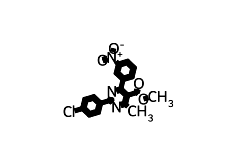 COC(=O)c1c(C)nc(-c2ccc(Cl)cc2)nc1-c1cccc([N+](=O)[O-])c1